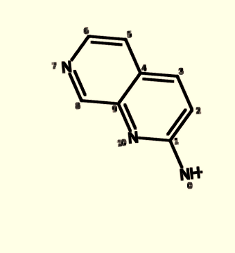 [NH]c1ccc2ccncc2n1